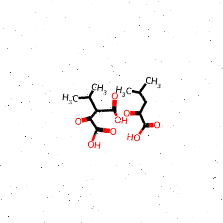 CC(C)C(C(=O)O)C(=O)C(=O)O.CC(C)CC(=O)C(=O)O